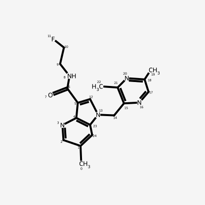 Cc1cnc2c(C(=O)NCCF)cn(Cc3ncc(C)nc3C)c2c1